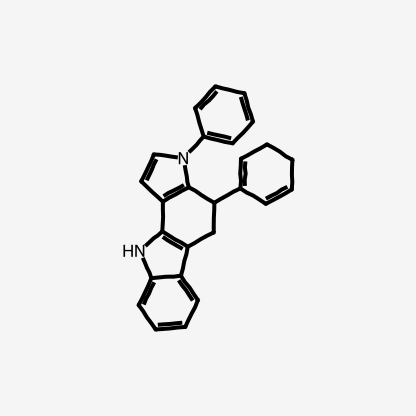 C1=CC(C2Cc3c([nH]c4ccccc34)-c3ccn(-c4ccccc4)c32)=CCC1